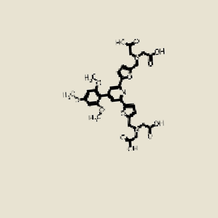 COc1cc(OC)c(-c2cc(-c3ccc(CN(CC(=O)O)CC(=O)O)o3)nc(-c3ccc(CN(CC(=O)O)CC(=O)O)o3)c2)c(OC)c1